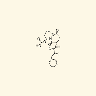 O=C(O)O[C@H]1CCCN2C(=O)CC[C@H](NC(=O)C(=S)Cc3ccccc3)C(=O)N12